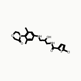 Cc1cc(NCC(O)CNC(=O)c2ccc(Cl)s2)cc(C)c1N1CCOCC1=O